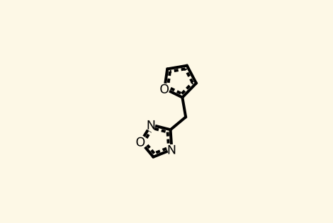 c1coc(Cc2ncon2)c1